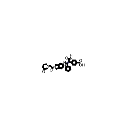 O=C1CCCN(CC(=O)N2Cc3ccc(N/C(=C4\C(=O)Nc5cc(C(=O)O)ccc54)c4ccccc4)cc3C2)C1